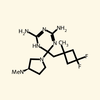 CN[C@@H]1CCN(C2(CC3(C)CC(F)(F)C3)N=C(N)N=C(N)N2)C1